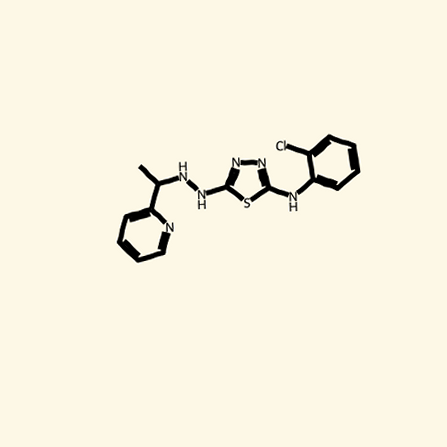 CC(NNc1nnc(Nc2ccccc2Cl)s1)c1ccccn1